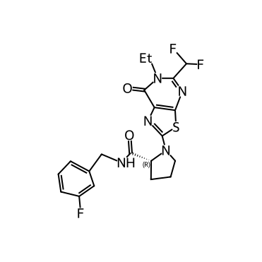 CCn1c(C(F)F)nc2sc(N3CCC[C@@H]3C(=O)NCc3cccc(F)c3)nc2c1=O